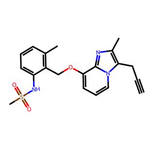 C#CCc1c(C)nc2c(OCc3c(C)cccc3NS(C)(=O)=O)cccn12